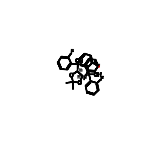 CC1(C)O[C@@H](C(O)(c2ccccc2F)c2ccccc2F)[C@H](C(O)(c2ccccc2F)c2ccccc2F)O1